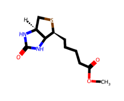 COC(=O)CCCC[C@@H]1SC[C@@H]2NC(=O)NC21